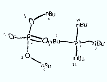 CCCCOP(=O)([O-])OCCCC.CCCC[P+](CCCC)(CCCC)CCCC